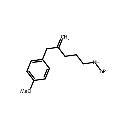 C=C(CCCNCCC)Cc1ccc(OC)cc1